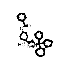 O=C(O[C@H]1CC[C@](O)(c2cn(C(c3ccccc3)(c3ccccc3)c3ccccc3)cn2)CC1)c1ccccc1